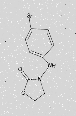 O=C1OCCN1Nc1ccc(Br)cc1